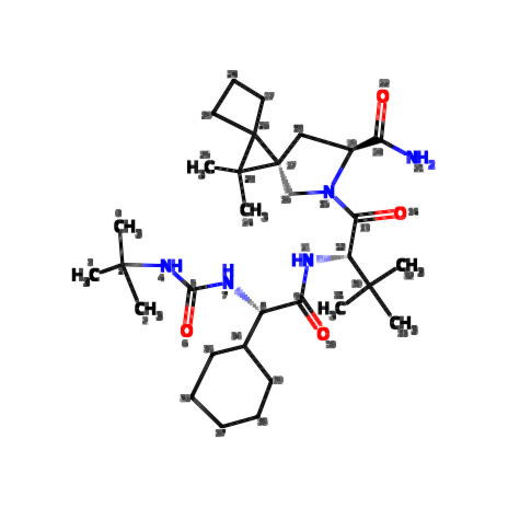 CC(C)(C)NC(=O)N[C@H](C(=O)N[C@H](C(=O)N1C[C@]2(C[C@H]1C(N)=O)C(C)(C)C21CCC1)C(C)(C)C)C1CCCCC1